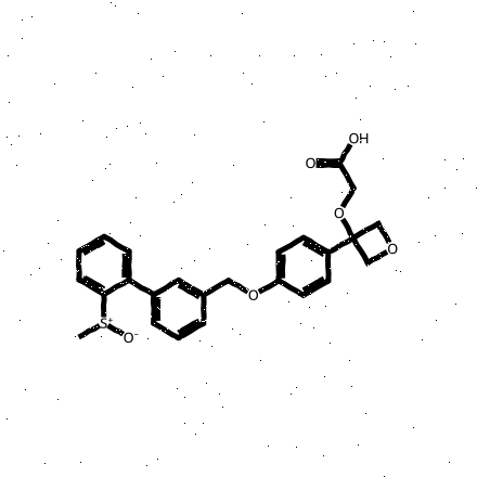 C[S+]([O-])c1ccccc1-c1cccc(COc2ccc(C3(OCC(=O)O)COC3)cc2)c1